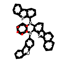 c1ccc(N(c2ccc3c(sc4c5ccccc5ccc34)c2N(c2ccccc2)c2ccc3oc4ccccc4c3c2)c2cccc3c2sc2ccccc23)cc1